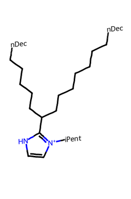 CCCCCCCCCCCCCCCCCC(CCCCCCCCCCCCCCC)c1[nH]cc[n+]1C(C)CCC